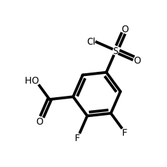 O=C(O)c1cc(S(=O)(=O)Cl)cc(F)c1F